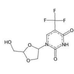 O=c1[nH]c(=O)n(C2COC(CO)O2)cc1C(F)(F)F